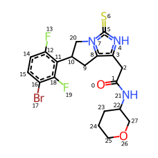 O=C(Cc1[nH]c(=S)n2c1CC(c1c(F)ccc(Br)c1F)C2)NC1CCCOC1